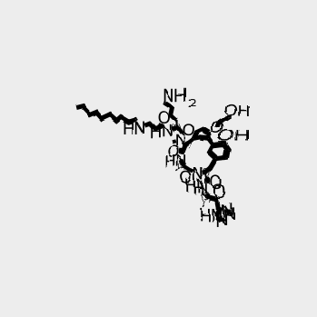 CCCCCCCCCCNCCC(=O)N[C@@H](CCCCN)C(=O)N(C)[C@@H]1C(=O)N[C@@H](C)C(=O)N[C@H](C(=O)N[C@@H](C)C(=O)c2nnn[nH]2)Cc2ccc(O)c(c2)-c2cc1ccc2OCCO